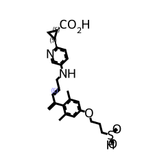 C=C(/C=C/CNc1ccc([C@H]2C[C@@H]2C(=O)O)nc1)c1c(C)cc(OCCC[SH](=O)=O)cc1C